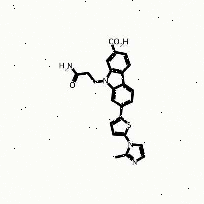 Cc1nccn1-c1ccc(-c2ccc3c4ccc(C(=O)O)cc4n(CCC(N)=O)c3c2)s1